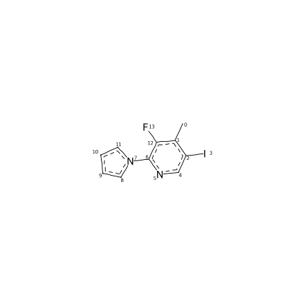 Cc1c(I)cnc(-n2cccc2)c1F